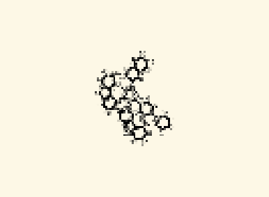 c1ccc(-c2ccc(-c3nc(-c4ccc5ccccc5c4)nc(-c4c(-c5ccc6c(c5)sc5ccccc56)ccc5c4-c4ccccc4C5)n3)cc2)cc1